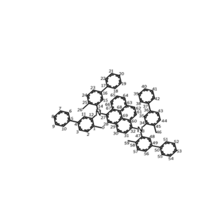 Cc1ccc(-c2ccccc2)cc1N(c1cc(-c2ccccc2)ccc1C)c1cc2ccc(N(c3cc(-c4ccccc4)ccc3C)c3cc(-c4ccccc4)ccc3C)c3ccc4cccc1c4c23